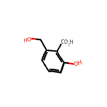 O=C(O)c1c(O)cccc1CO